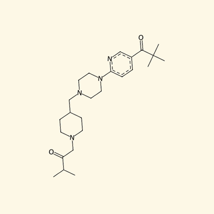 CC(C)C(=O)CN1CCC(CN2CCN(c3ccc(C(=O)C(C)(C)C)cn3)CC2)CC1